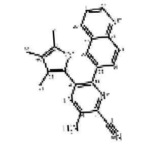 Cc1oc(-c2nc(N)c(C#N)nc2-c2ccc3ncccc3c2)c(C)c1C